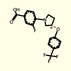 O=C(O)c1ccc(N2CC[C@H](Oc3ccc(C(F)(F)F)cc3)C2)c(F)c1